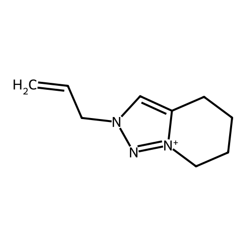 C=CCn1cc2[n+](n1)CCCC2